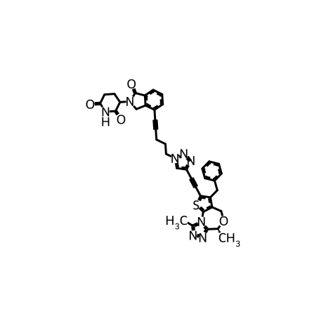 Cc1nnc2n1-c1sc(C#Cc3cn(CCCC#Cc4cccc5c4CN(C4CCC(=O)NC4=O)C5=O)nn3)c(Cc3ccccc3)c1CO[C@H]2C